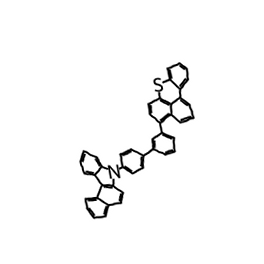 c1cc(-c2ccc(-n3c4ccccc4c4c5ccccc5ccc43)cc2)cc(-c2ccc3c4c(cccc24)-c2ccccc2S3)c1